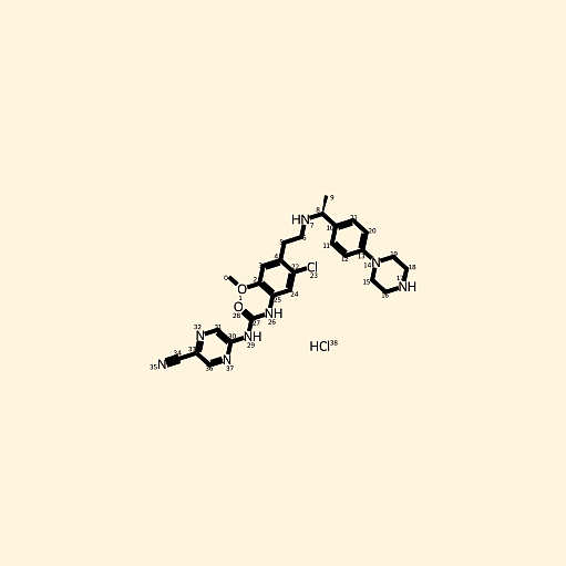 COc1cc(CCN[C@@H](C)c2ccc(N3CCNCC3)cc2)c(Cl)cc1NC(=O)Nc1cnc(C#N)cn1.Cl